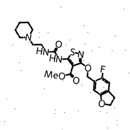 COC(=O)c1c(OCc2cc3c(cc2F)CCO3)nsc1NC(=O)NCCN1CCCCC1